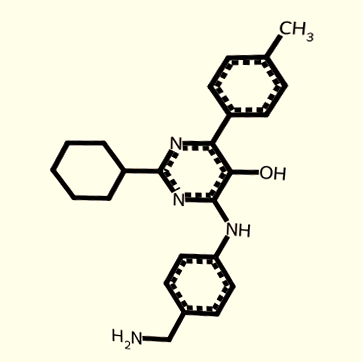 Cc1ccc(-c2nc(C3CCCCC3)nc(Nc3ccc(CN)cc3)c2O)cc1